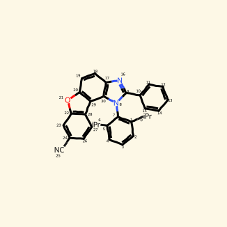 CC(C)c1cccc(C(C)C)c1-n1c(-c2ccccc2)nc2ccc3oc4cc(C#N)ccc4c3c21